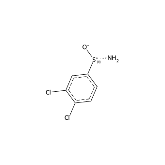 N[S@@+]([O-])c1ccc(Cl)c(Cl)c1